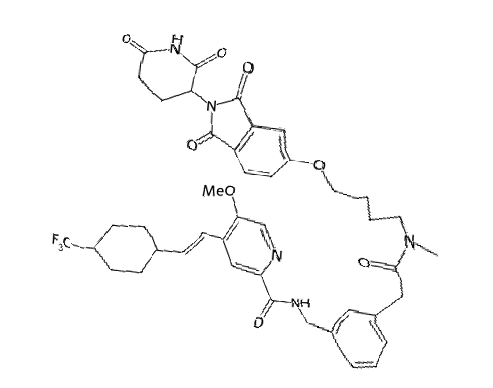 COc1cnc(C(=O)NCc2cccc(CC(=O)N(C)CCCCOc3ccc4c(c3)C(=O)N(C3CCC(=O)NC3=O)C4=O)c2)cc1C=CC1CCC(C(F)(F)F)CC1